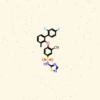 Cc1cccc(-c2ccc(F)cc2F)c1Oc1ccc(S(=O)(=O)Nc2ncns2)cc1C#N